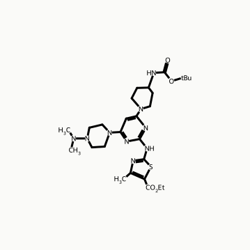 CCOC(=O)c1sc(Nc2nc(N3CCC(NC(=O)OC(C)(C)C)CC3)cc(N3CCN(N(C)C)CC3)n2)nc1C